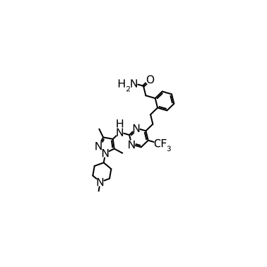 Cc1nn(C2CCN(C)CC2)c(C)c1Nc1ncc(C(F)(F)F)c(CCc2ccccc2CC(N)=O)n1